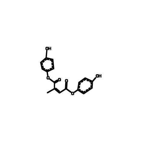 C/C(=C/C(=O)Oc1ccc(O)cc1)C(=O)Oc1ccc(O)cc1